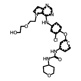 O=C(Nc1cccc(Oc2ccc(Nc3ncnc4ccn(CCOCCO)c34)cc2Cl)c1)NC1CCOCC1